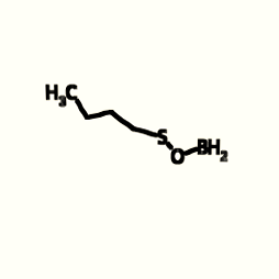 BOSCCCC